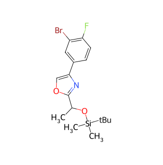 CC(O[Si](C)(C)C(C)(C)C)c1nc(-c2ccc(F)c(Br)c2)co1